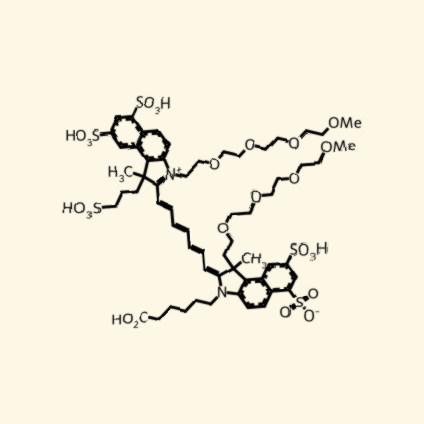 COCCOCCOCCOCC[N+]1=C(/C=C/C=C/C=C/C=C2/N(CCCCCC(=O)O)c3ccc4c(S(=O)(=O)[O-])cc(S(=O)(=O)O)cc4c3C2(C)CCOCCOCCOCCOC)C(C)(CCCS(=O)(=O)O)c2c1ccc1c(S(=O)(=O)O)cc(S(=O)(=O)O)cc21